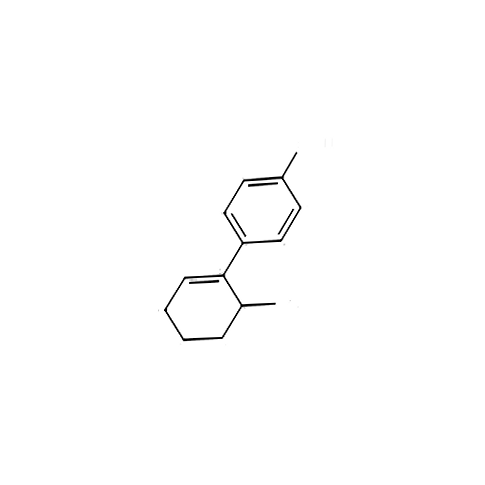 CC(C)(C)C1CCCC=C1c1ccc(C(=O)O)cc1